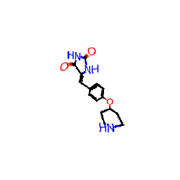 O=C1NC(=O)C(=Cc2ccc(OC3CCNCC3)cc2)N1